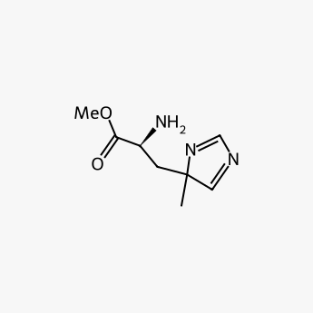 COC(=O)[C@@H](N)CC1(C)C=NC=N1